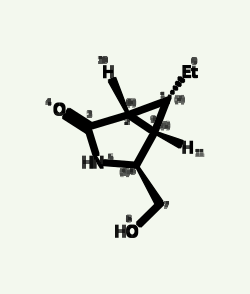 CC[C@H]1[C@H]2C(=O)N[C@H](CO)[C@@H]12